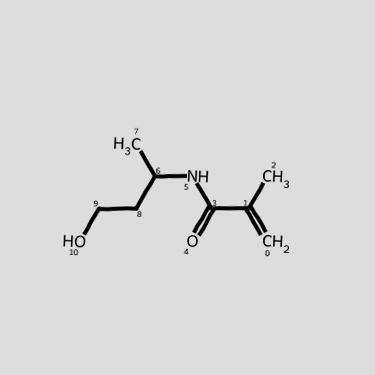 C=C(C)C(=O)NC(C)CCO